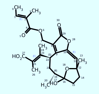 C/C=C(\C)C(=O)OCC1=C2/C(=C\C3(C)CCC(O)(O3)[C@H](C)C[C@H]2/C(C)=C(\C)C(=O)O)OC1=O